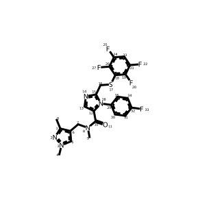 Cc1nn(C)cc1CN(C)C(=O)c1cnc(CSc2c(F)c(F)cc(F)c2F)n1-c1ccc(F)cc1